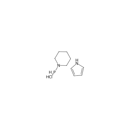 Cl.PN1CCCCC1.c1cc[nH]c1